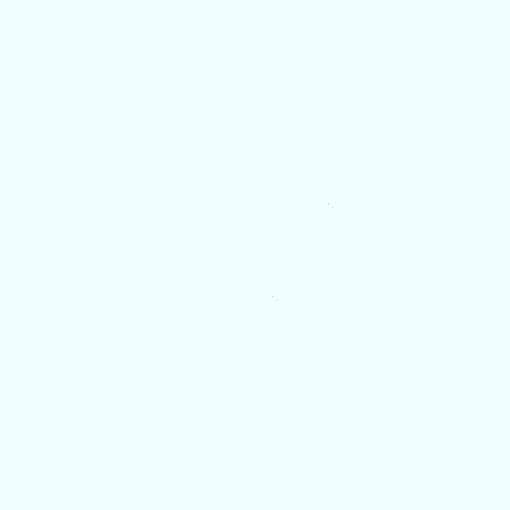 Cn1ccc(C#N)c1-c1ccc(Cl)c(Cl)c1